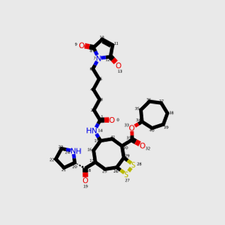 O=C(CCCCCN1C(=O)C=CC1=O)NC1CC(C(=O)[C@@H]2CCCN2)CC2SSC2C(C(=O)OC2CCCCCC2)C1